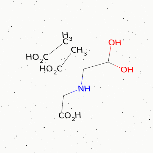 CC(=O)O.CC(=O)O.O=C(O)CNCC(O)O